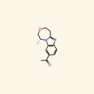 CC(=O)c1ccc2nc3n(c2c1)[C@H](C)COCC3